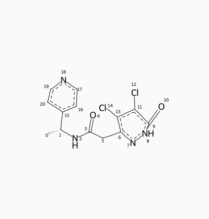 C[C@@H](NC(=O)Cc1n[nH]c(=O)c(Cl)c1Cl)c1ccncc1